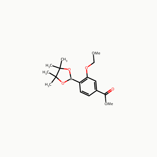 COCOc1cc(C(=O)OC)ccc1B1OC(C)(C)C(C)(C)O1